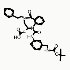 CC(C)(C)OC(=O)NCc1cccc(NC(=O)N2c3ccccc3C(=O)N(CCc3ccccc3)CC2CC(=O)O)c1